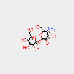 N[C@H]1[C@H](O)[C@@H](O)[C@@H](O[C@H]2O[C@H](CO)[C@@H](O)[C@H](O)[C@H]2O)O[C@@H]1CO